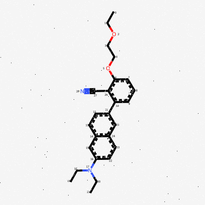 CCOCCOc1cccc(-c2ccc3cc(N(CC)CC)ccc3c2)c1C#N